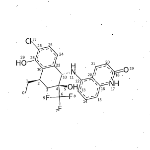 CC[C@@H]1C[C@@](O)(C(F)(F)F)[C@@H](Nc2cccc3[nH]c(=O)ccc23)c2ccc(Cl)c(O)c21